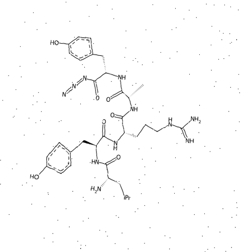 CC(C)C[C@H](N)C(=O)N[C@@H](Cc1ccc(O)cc1)C(=O)N[C@@H](CCCNC(=N)N)C(=O)N[C@@H](C)C(=O)N[C@@H](Cc1ccc(O)cc1)C(=O)N=[N+]=[N-]